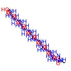 CCCC[C@H](NC(=O)CN)C(=O)NCC(=O)N[C@@H](C)C(=O)NCC(=O)N[C@@H](C)C(=O)NCC(=O)N[C@@H](C)C(=O)NCC(=O)N[C@@H](C)C(=O)NCC(=O)N[C@@H](C)C(=O)NCC(=O)N[C@@H](C)C(=O)NCC(=O)N[C@@H](C)C(=O)NCC(=O)N[C@@H](C)C(=O)NCC(=O)N[C@@H](C)C(=O)NCC(=O)N[C@@H](C)C(=O)O